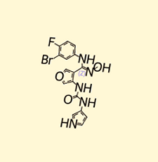 O=C(Nc1cc[nH]c1)Nc1cocc1/C(=N/O)Nc1ccc(F)c(Br)c1